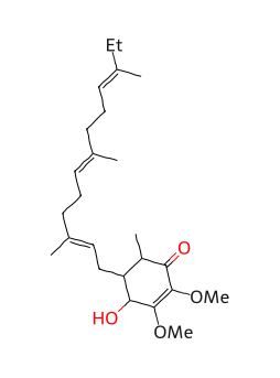 CC/C(C)=C/CC/C(C)=C/CC/C(C)=C/CC1C(C)C(=O)C(OC)=C(OC)C1O